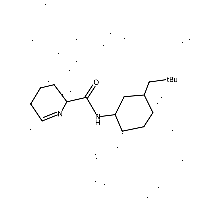 CC(C)(C)CC1CCCC(NC(=O)C2CCCC=N2)C1